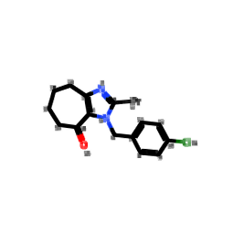 CC(C)c1nc2c(n1Cc1ccc(Cl)cc1)C(=O)CCCC2